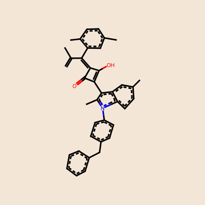 C=C(C)/C(=C1\C(=O)C(c2c(C)n(-c3ccc(Cc4ccccc4)cc3)c3ccc(C)cc23)=C1O)c1cc(C)ccc1C